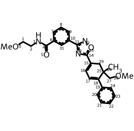 COCCNC(=O)c1cccc(-c2noc(C3=CC=C(c4ccccc4)C(C)(COC)C3)n2)c1